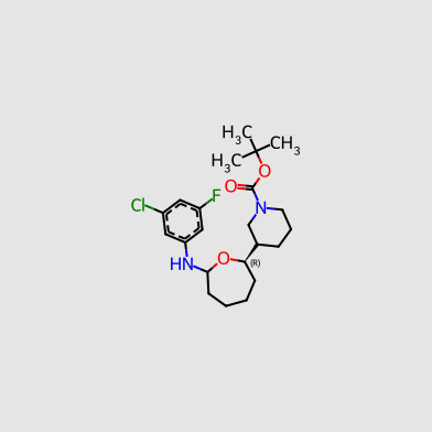 CC(C)(C)OC(=O)N1CCCC([C@H]2CCCCC(Nc3cc(F)cc(Cl)c3)O2)C1